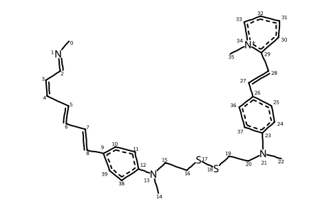 C/N=C/C=C\C=C\C=C\c1ccc(N(C)CCSSCCN(C)c2ccc(/C=C/c3cccc[n+]3C)cc2)cc1